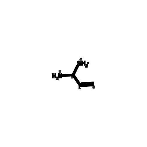 C=CC(N)[SiH2]